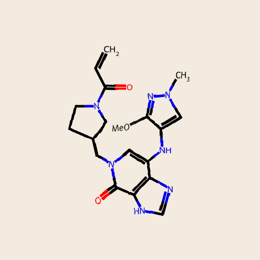 C=CC(=O)N1CCC(Cn2cc(Nc3cn(C)nc3OC)c3nc[nH]c3c2=O)C1